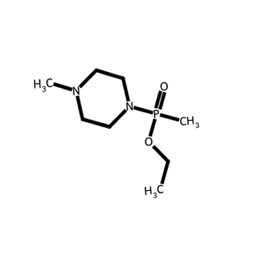 CCOP(C)(=O)N1CCN(C)CC1